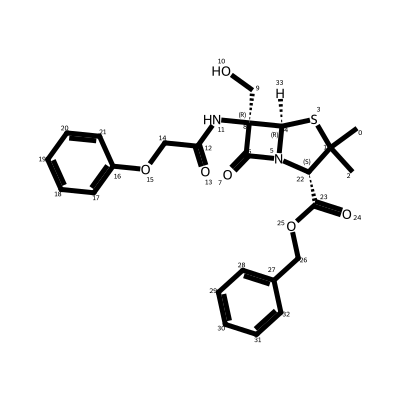 CC1(C)S[C@H]2N(C(=O)[C@@]2(CO)NC(=O)COc2ccccc2)[C@H]1C(=O)OCc1ccccc1